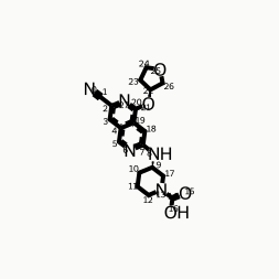 N#Cc1cc2cnc(N[C@H]3CCCN(C(=O)O)C3)cc2c(O[C@H]2CCOC2)n1